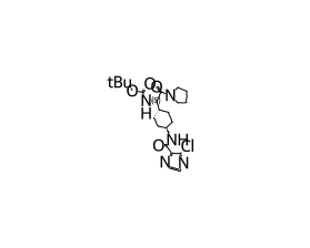 CC(C)(C)OC(=O)N[C@H](C(=O)N1CCCC1)[C@H]1CC[C@H](NC(=O)c2nccnc2Cl)CC1